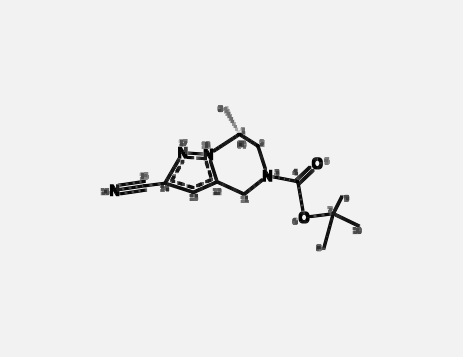 C[C@@H]1CN(C(=O)OC(C)(C)C)Cc2cc(C#N)nn21